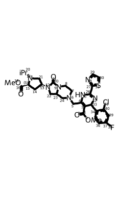 COC(=O)C1=C(CN2CCN3C(=O)N([C@@H]4C[C@@H](C(=O)OC)N(C(C)C)C4)CC3C2)NC(c2nccs2)=NC1c1ccc(F)cc1Cl